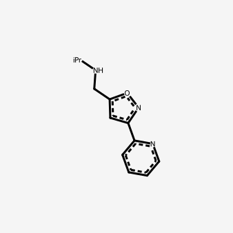 CC(C)NCc1cc(-c2ccccn2)no1